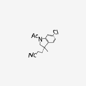 CC(=O)N1CC(C)(CCC#N)c2ccc(Cl)cc21